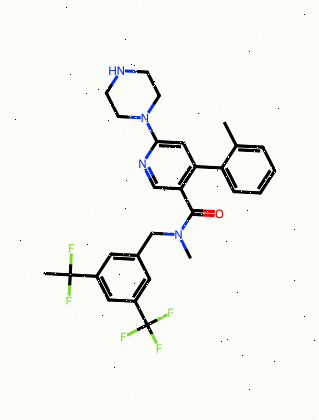 Cc1ccccc1-c1cc(N2CCNCC2)ncc1C(=O)N(C)Cc1cc(C(C)(F)F)cc(C(F)(F)F)c1